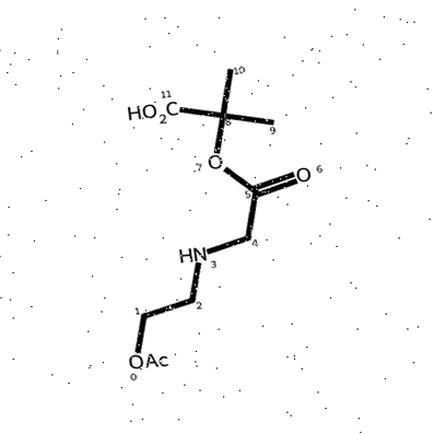 CC(=O)OCCNCC(=O)OC(C)(C)C(=O)O